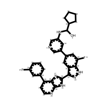 OC(Nc1cncc(-c2cc(F)c3[nH]nc(-c4nc5c(-c6cccc(F)c6)ccnc5[nH]4)c3c2)c1)C1CCCC1